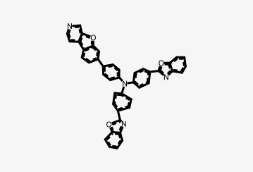 c1ccc2oc(-c3ccc(N(c4ccc(-c5ccc6c(c5)oc5cnccc56)cc4)c4ccc(-c5nc6ccccc6o5)cc4)cc3)nc2c1